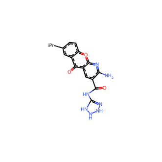 CC(C)c1ccc2oc3nc(N)c(C(=O)NC4=NNNN4)cc3c(=O)c2c1